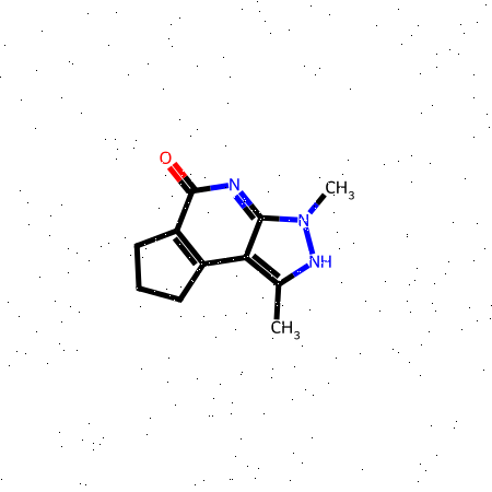 Cc1[nH]n(C)c2nc(=O)c3c(c1-2)CCC3